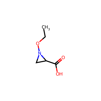 CCON1CC1C(=O)O